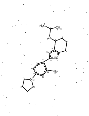 CC(C)OC1CCCc2nc(-c3ccc(N4CCCC4)cc3Br)sc21